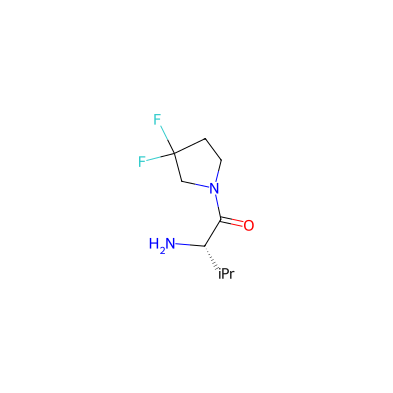 CC(C)[C@H](N)C(=O)N1CCC(F)(F)C1